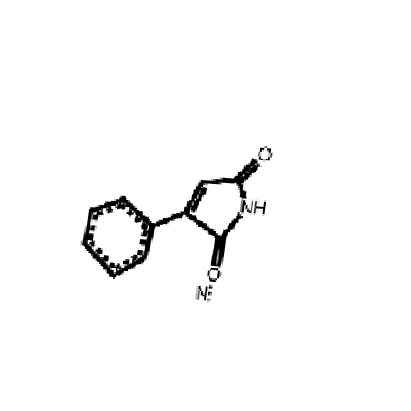 O=C1C=C(c2ccccc2)C(=O)N1.[N]